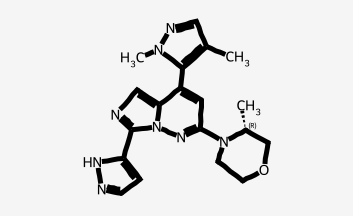 Cc1cnn(C)c1-c1cc(N2CCOC[C@H]2C)nn2c(-c3ccn[nH]3)ncc12